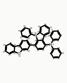 c1ccc(N(c2ccccc2)c2ccc(-c3ccc4c(c3)oc3ccccc34)c3c2c2ccccc2n3-c2ccccc2)cc1